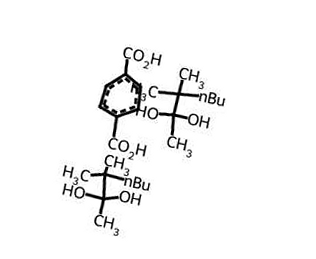 CCCCC(C)(C)C(C)(O)O.CCCCC(C)(C)C(C)(O)O.O=C(O)c1ccc(C(=O)O)cc1